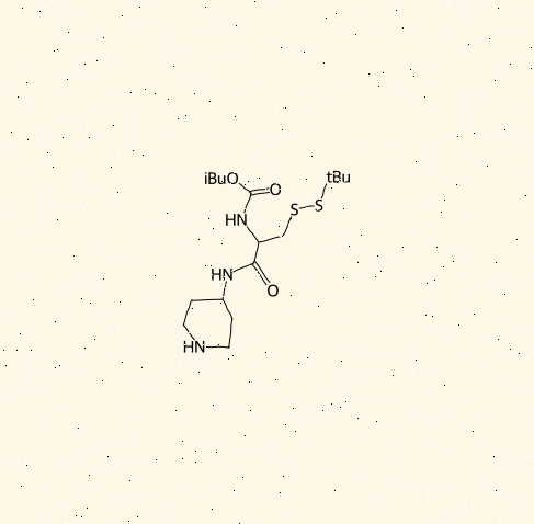 CC(C)COC(=O)NC(CSSC(C)(C)C)C(=O)NC1CCNCC1